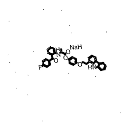 CC(Nc1ccccc1C(=O)c1ccc(F)cc1)C(=O)Oc1ccc(OCCc2cccc3c2[nH]c2ccccc23)cc1.[NaH]